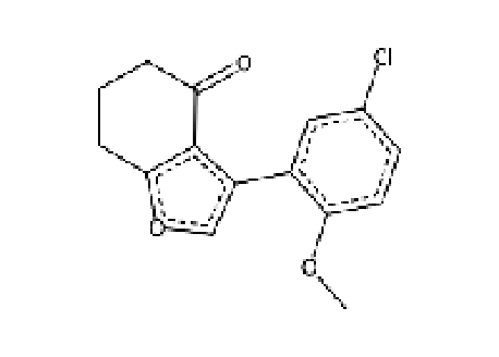 COc1ccc(Cl)cc1-c1coc2c1C(=O)CCC2